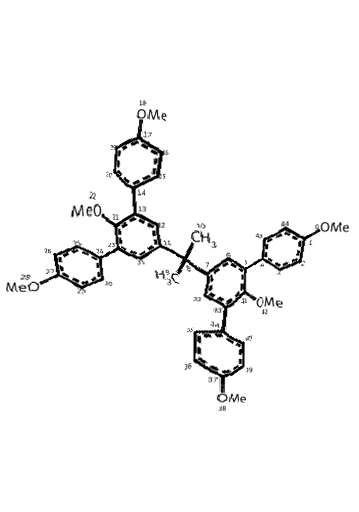 COc1ccc(-c2cc(C(C)(C)c3cc(-c4ccc(OC)cc4)c(OC)c(-c4ccc(OC)cc4)c3)cc(-c3ccc(OC)cc3)c2OC)cc1